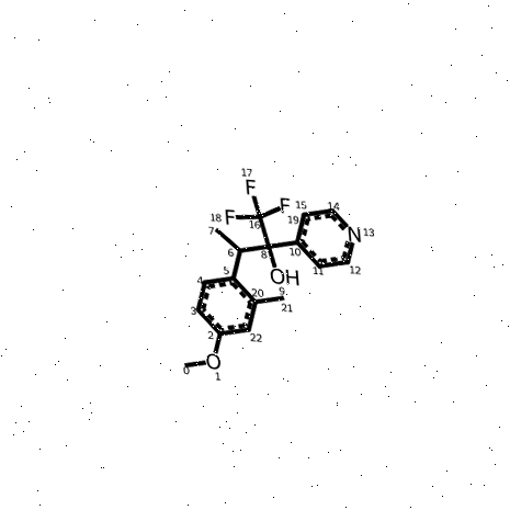 COc1ccc(C(C)C(O)(c2ccncc2)C(F)(F)F)c(C)c1